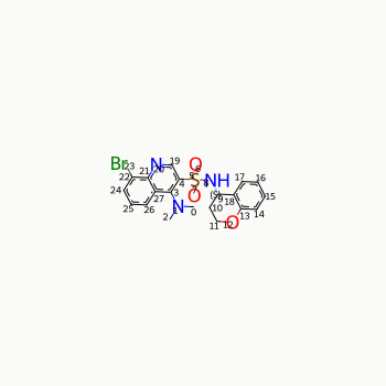 CN(C)c1c(S(=O)(=O)N[C@H]2CCOc3ccccc32)cnc2c(Br)cccc12